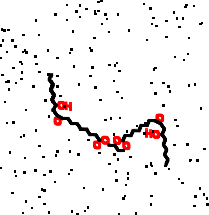 CCCCCCC(O)CC1OC1CCCCCCCC(=O)OCC(CC)OC(=O)CCCCCCCC1OC1CC(O)CCCCCC